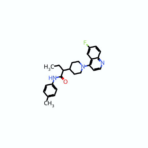 CCC(C(=O)Nc1ccc(C)cc1)C1CCN(c2ccnc3ccc(F)cc23)CC1